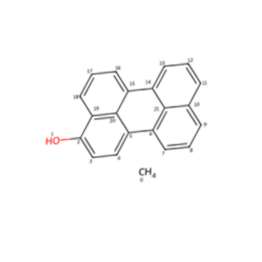 C.Oc1ccc2c3cccc4cccc(c5cccc1c52)c43